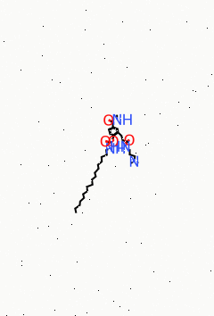 CCCCCCCCCCCCCCCCCCNC(=O)Oc1ccc(C(=O)NC)cc1CCC(=O)NCCCN(C)C